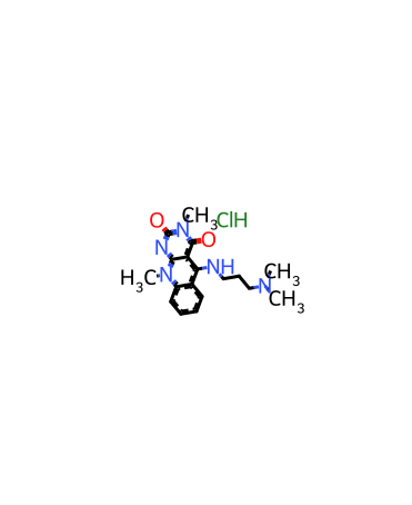 CN(C)CCCNc1c2c(=O)n(C)c(=O)nc-2n(C)c2ccccc12.Cl